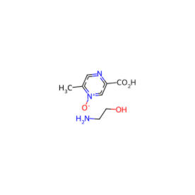 Cc1cnc(C(=O)O)c[n+]1[O-].NCCO